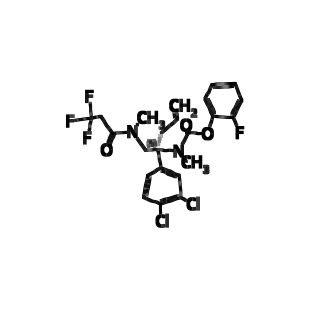 C=CC[C@@](CN(C)C(=O)CC(F)(F)F)(c1ccc(Cl)c(Cl)c1)N(C)C(=O)Oc1ccccc1F